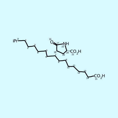 CC(C)CCCCCCCCCCCCCCC(=O)O.O=C1CC[C@@H](C(=O)O)N1